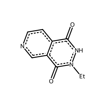 CCn1[nH]c(=O)c2ccncc2c1=O